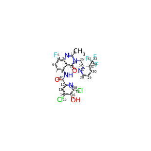 Cc1nc2c(F)ccc(NC(=O)c3cc(Cl)c(O)c(Cl)n3)c2c(=O)n1Cc1ncccc1C(F)(F)F